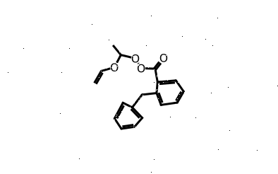 C=COC(C)OOC(=O)c1ccccc1Cc1ccccc1